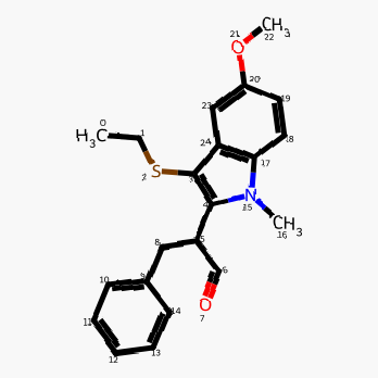 CCSc1c(C(C=O)Cc2ccccc2)n(C)c2ccc(OC)cc12